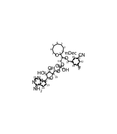 CCCCCCCCCC[C@H]1CCCCCCOC1[C@H](COP(=O)(O)OC[C@@]1(C)O[C@@H](c2ccc3c(N)ncnn23)[C@H](O)[C@@H]1O)OCc1cc(F)cc(C#N)c1